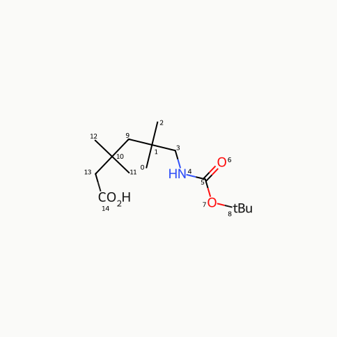 CC(C)(CNC(=O)OC(C)(C)C)CC(C)(C)CC(=O)O